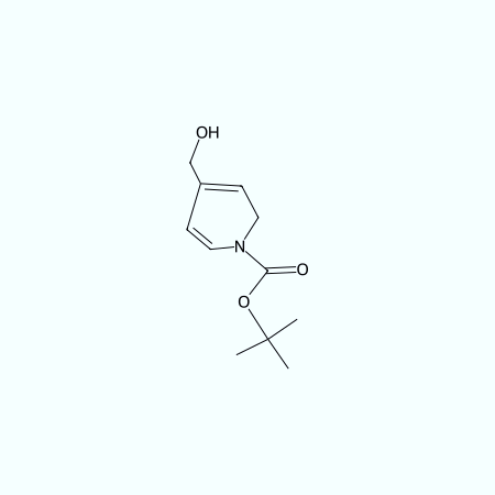 CC(C)(C)OC(=O)N1C=CC(CO)=CC1